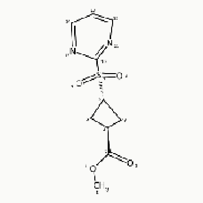 COC(=O)[C@H]1C[C@H](S(=O)(=O)c2ncccn2)C1